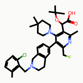 Cc1cccc(Cl)c1CN1CCc2cc(-c3c(CF)nc(C)c(C(OC(C)(C)C)C(=O)O)c3N3CCC(C)(C)CC3)ccc2C1